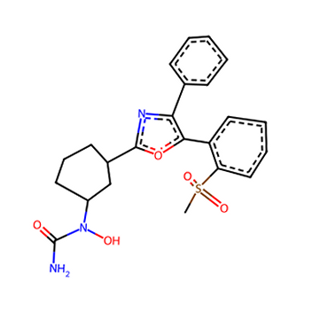 CS(=O)(=O)c1ccccc1-c1oc(C2CCCC(N(O)C(N)=O)C2)nc1-c1ccccc1